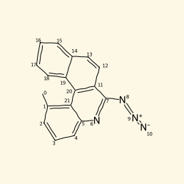 Cc1cccc2nc(N=[N+]=[N-])c3ccc4ccccc4c3c12